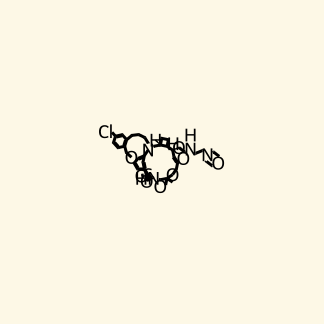 CC1(C)OC/C=C/[C@H](OC(=O)NCCN2CCOCC2)[C@@H]2CC[C@H]2CN2CCCCc3cc(Cl)ccc3COc3ccc(cc32)S(=O)(=O)NC1=O